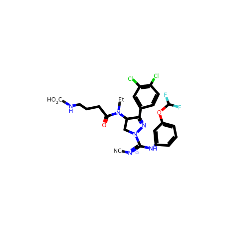 CCN(C(=O)CCCNC(=O)O)C1CN(/C(=N\C#N)Nc2cccc(OC(F)F)c2)N=C1c1ccc(Cl)c(Cl)c1